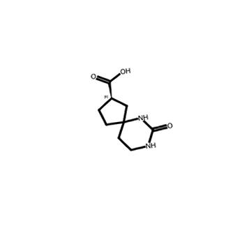 O=C1NCCC2(CC[C@@H](C(=O)O)C2)N1